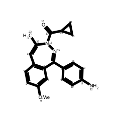 COc1ccc2c(c1)C(c1ccc(N)cc1)=NN(C(=O)C1CC1)C(C)=C2